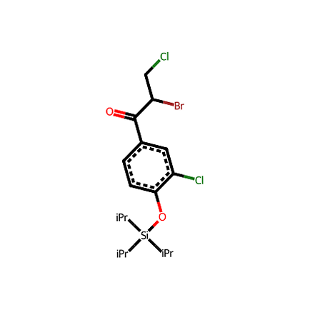 CC(C)[Si](Oc1ccc(C(=O)C(Br)CCl)cc1Cl)(C(C)C)C(C)C